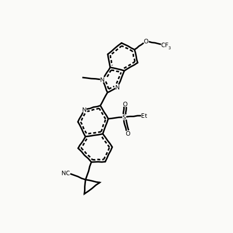 CCS(=O)(=O)c1c(-c2nc3cc(OC(F)(F)F)ccc3n2C)ncc2cc(C3(C#N)CC3)ccc12